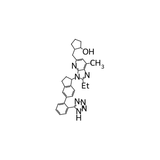 CCc1nc2c(C)cc(CC3CCCC3O)nc2n1C1CCc2cc(-c3ccccc3-c3nnn[nH]3)ccc21